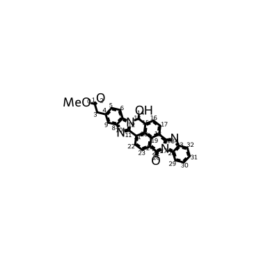 COC(=O)Cc1ccc2c(c1)nc1n2C(O)c2ccc3c4c2c-1ccc4c(=O)n1c2ccccc2nc31